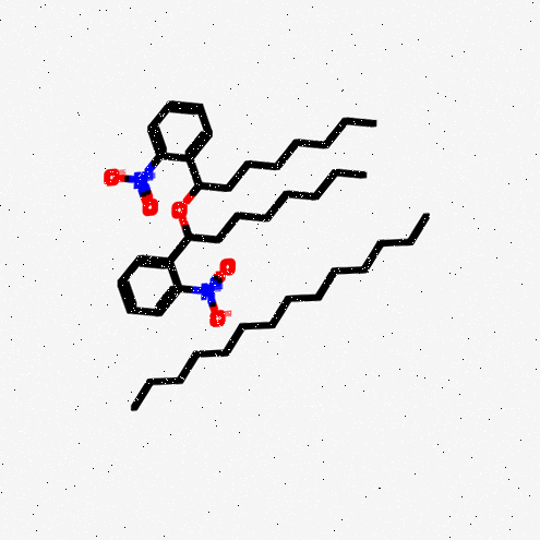 CCCCCCCC(OC(CCCCCCC)c1ccccc1[N+](=O)[O-])c1ccccc1[N+](=O)[O-].CCCCCCCCCCCCCC